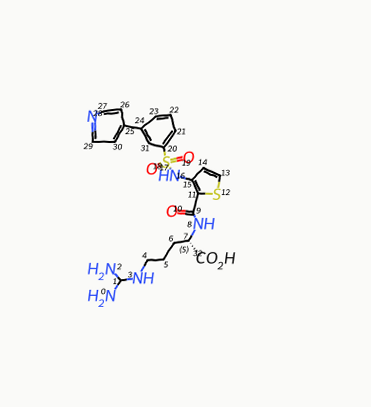 NC(N)NCCC[C@H](NC(=O)c1sccc1NS(=O)(=O)c1cccc(-c2ccncc2)c1)C(=O)O